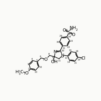 COc1ccc(COCC2(O)CN(c3ccc(Cl)cc3)C(c3ccc(S(N)(=O)=O)cc3)=N2)cc1